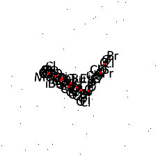 C=CCOC(=O)Cl.C=COC(=O)Cl.CC(C)COC(=O)Cl.CC(Cl)OC(=O)Cl.CCCCC(CC)COC(=O)Cl.CCCOC(=O)Cl.CCOC(=O)Cl.COC(=O)Cl.O=C(Cl)OCC1c2ccccc2-c2ccccc21.O=C(Cl)OCCBr.O=C(Cl)OCCCl.O=C(Cl)OCc1ccccc1.O=C(Cl)Oc1ccc(Cl)cc1.O=C(Cl)Oc1ccccc1